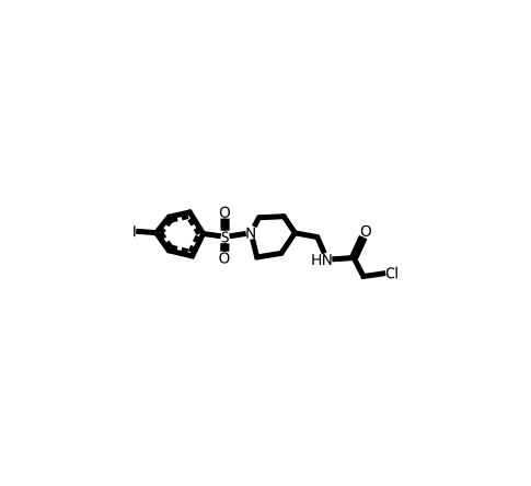 O=C(CCl)NCC1CCN(S(=O)(=O)c2ccc(I)cc2)CC1